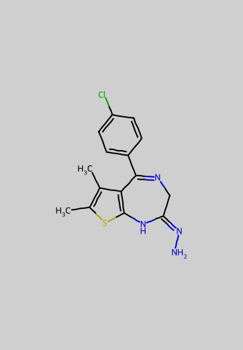 Cc1sc2c(c1C)C(c1ccc(Cl)cc1)=NC/C(=N/N)N2